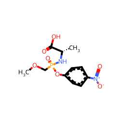 COCP(=O)(N[C@@H](C)C(=O)O)Oc1ccc([N+](=O)[O-])cc1